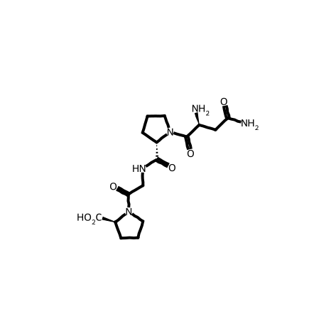 NC(=O)C[C@H](N)C(=O)N1CCC[C@H]1C(=O)NCC(=O)N1CCC[C@H]1C(=O)O